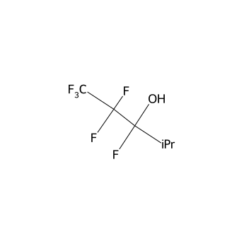 CC(C)C(O)(F)C(F)(F)C(F)(F)F